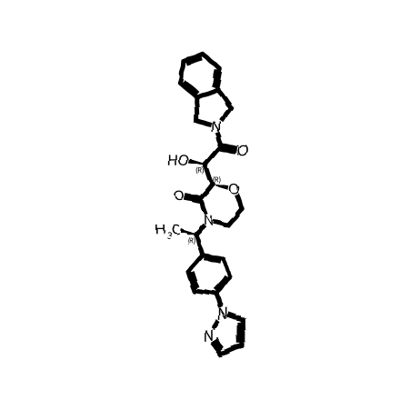 C[C@H](c1ccc(-n2cccn2)cc1)N1CCO[C@H]([C@@H](O)C(=O)N2Cc3ccccc3C2)C1=O